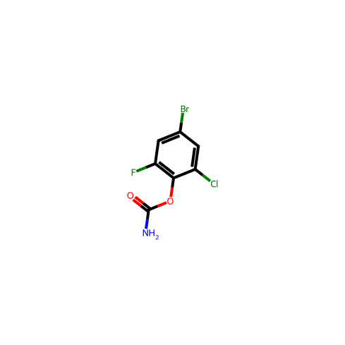 NC(=O)Oc1c(F)cc(Br)cc1Cl